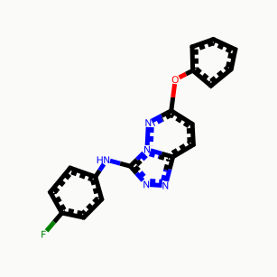 Fc1ccc(Nc2nnc3ccc(Oc4ccccc4)nn23)cc1